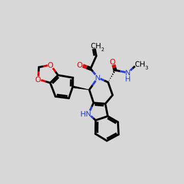 C=CC(=O)N1[C@H](c2ccc3c(c2)OCO3)c2[nH]c3ccccc3c2C[C@H]1C(=O)NC